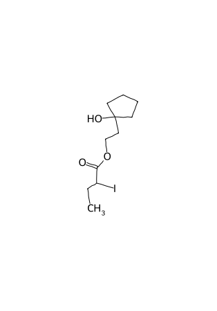 CCC(I)C(=O)OCCC1(O)CCCC1